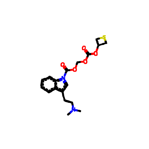 CN(C)CCc1cn(C(=O)OCOC(=O)OC2CSC2)c2ccccc12